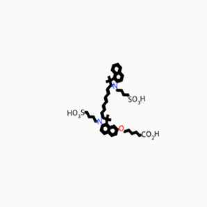 CC1(C)C(=CC=CC=CC=CC2N(CCCCS(=O)(=O)O)c3ccc4ccccc4c3C2(C)C)N(CCCCS(=O)(=O)O)c2ccc3ccc(OCCCCCC(=O)O)cc3c21